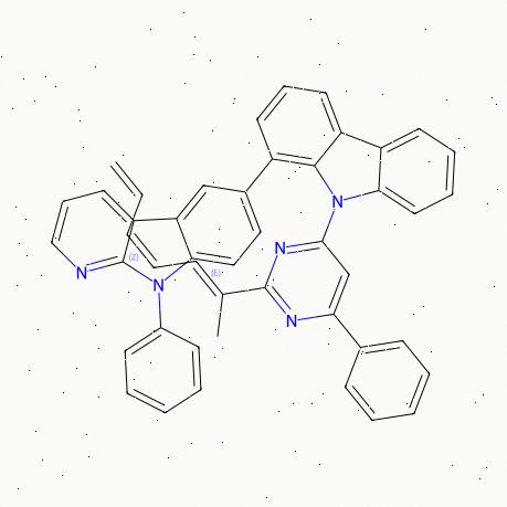 C=C/C=C\C=C(/C)c1nc(-c2ccccc2)cc(-n2c3ccccc3c3cccc(-c4ccc5c(c4)c4cccnc4n5-c4ccccc4)c32)n1